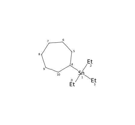 C[CH2][Sn]([CH2]C)([CH2]C)[CH]1CCCCCC1